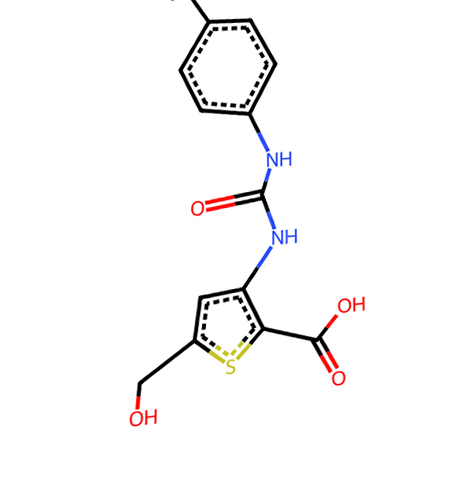 Cc1ccc(NC(=O)Nc2cc(CO)sc2C(=O)O)cc1